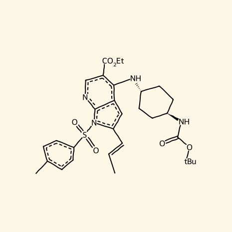 C/C=C/c1cc2c(N[C@H]3CC[C@H](NC(=O)OC(C)(C)C)CC3)c(C(=O)OCC)cnc2n1S(=O)(=O)c1ccc(C)cc1